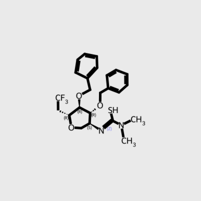 CN(C)/C(S)=N/[C@H]1CO[C@H](CC(F)(F)F)[C@@H](OCc2ccccc2)[C@@H]1OCc1ccccc1